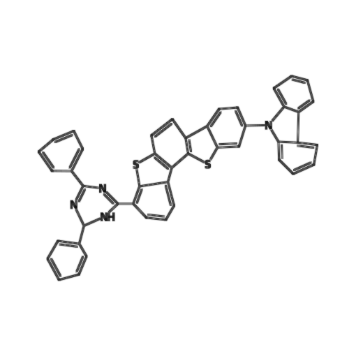 c1ccc(C2=NC(c3ccccc3)NC(c3cccc4c3sc3ccc5c6ccc(-n7c8ccccc8c8ccccc87)cc6sc5c34)=N2)cc1